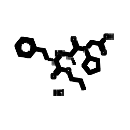 CCCOC(=O)[C@H](CCc1ccccc1)N[C@@H](C)C(=O)N(CC(=O)O)C1CCCC1.Cl